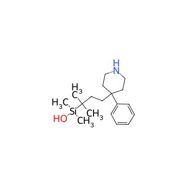 CC(C)(CCC1(c2ccccc2)CCNCC1)[Si](C)(C)O